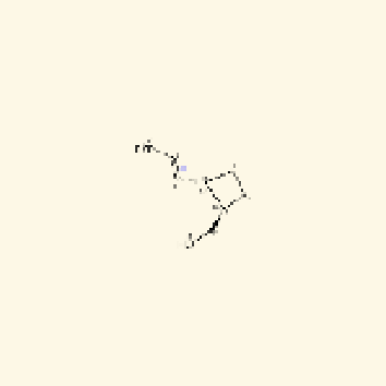 CCC/C=C/[C@@H]1CC[C@H]1CO